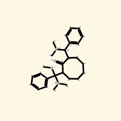 COC(c1ccccc1)(C1CCCCCC(C(c2ccccc2)N(C)C)C1=O)N(C)C